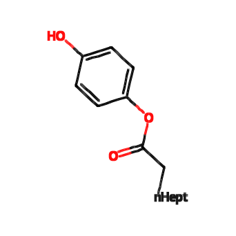 CCCCCCCCC(=O)Oc1ccc(O)cc1